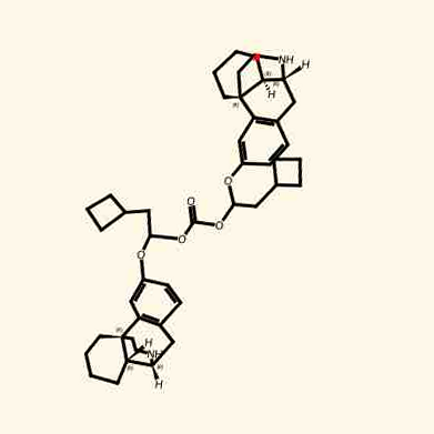 O=C(OC(CC1CCC1)Oc1ccc2c(c1)[C@@]13CCCC[C@H]1[C@@H](C2)NCC3)OC(CC1CCC1)Oc1ccc2c(c1)[C@@]13CCCC[C@H]1[C@@H](C2)NCC3